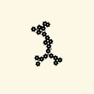 c1ccc(-c2ccc(-c3ccc(N(c4ccc(-c5ccc6c(c5)c5ccccc5n6-c5ccccc5)cc4)c4ccc5c(c4)oc4cc(-c6cccc(-c7ccc(-c8ccc(N(c9ccc(-c%10cccc%11ccccc%10%11)cc9)c9cccc%10c9c9ccccc9n%10-c9ccccc9)cc8)cc7-c7ccccc7)c6)ccc45)cc3)cc2-c2ccccc2)cc1